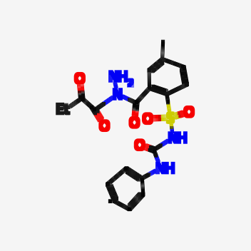 CCC(=O)C(=O)N(N)C(=O)c1cc(C)ccc1S(=O)(=O)NC(=O)Nc1cc[c]cc1